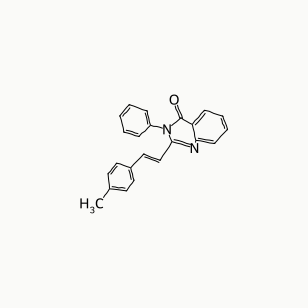 Cc1ccc(C=Cc2nc3ccccc3c(=O)n2-c2ccccc2)cc1